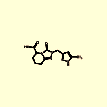 Cc1cc(Cn2nc3n(c2=O)C(C(=O)O)CCC3)n[nH]1